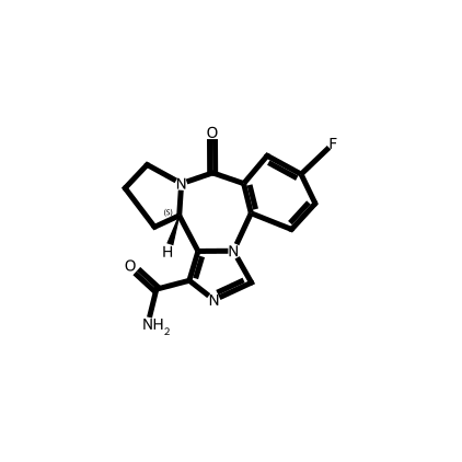 NC(=O)c1ncn2c1[C@@H]1CCCN1C(=O)c1cc(F)ccc1-2